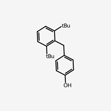 CC(C)(C)c1cccc(C(C)(C)C)c1Cc1ccc(O)cc1